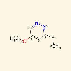 CCc1cc(OC)cnn1